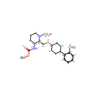 CC(C)(C)OC(=O)N[C@H]1CCCN(C(=O)O)[C@H]1COC1CCC(c2ccccc2C=O)CC1